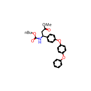 CCCCOC(=O)NC(CC(=O)OC)c1ccc(Oc2ccc(Oc3ccccc3)cc2)cc1